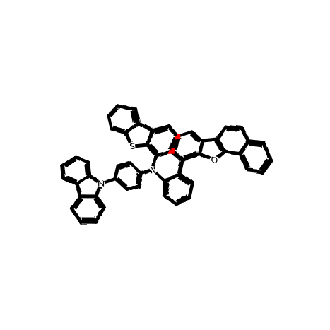 c1ccc(N(c2ccc(-n3c4ccccc4c4ccccc43)cc2)c2cccc3c2sc2ccccc23)c(-c2cccc3c2oc2c4ccccc4ccc32)c1